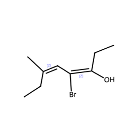 CC/C(C)=C\C(Br)=C(\O)CC